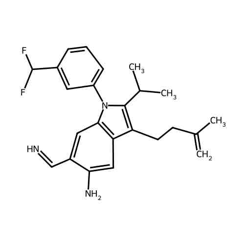 C=C(C)CCc1c(C(C)C)n(-c2cccc(C(F)F)c2)c2cc(C=N)c(N)cc12